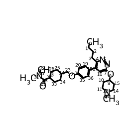 CCCCc1nnc(OC2CCN(C)CC2)cc1-c1ccc(OCC2CCC(C(=O)N(C)C)CC2)cc1